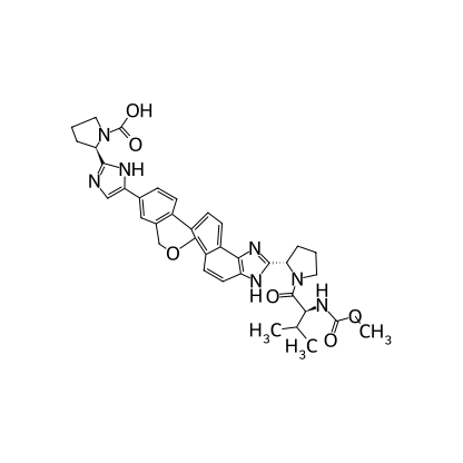 COC(=O)N[C@H](C(=O)N1CCC[C@H]1c1nc2c(ccc3c4c(ccc32)-c2ccc(-c3cnc([C@H]5CCCN5C(=O)O)[nH]3)cc2CO4)[nH]1)C(C)C